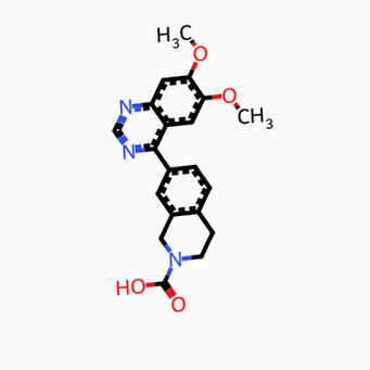 COc1cc2ncnc(-c3ccc4c(c3)CN(C(=O)O)CC4)c2cc1OC